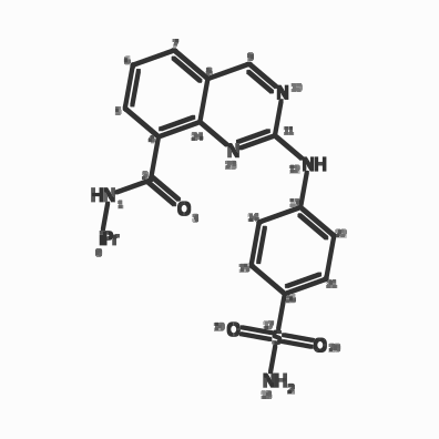 CC(C)NC(=O)c1cccc2cnc(Nc3ccc(S(N)(=O)=O)cc3)nc12